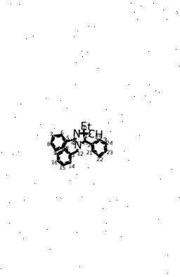 CCC1(C)N=C(c2ccccc2)N(Cc2ccccc2)C1c1ccccc1